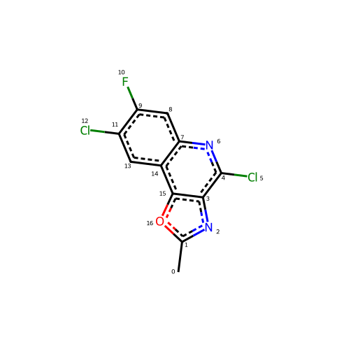 Cc1nc2c(Cl)nc3cc(F)c(Cl)cc3c2o1